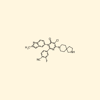 Cn1cc2cc(-n3c(-c4ccc(C#N)c(F)c4)nc(N4CCC5(CCNC5)CC4)c(Cl)c3=O)ccc2n1